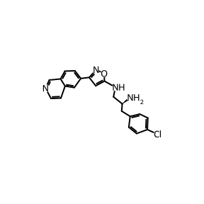 N[C@H](CNc1cc(-c2ccc3cnccc3c2)no1)Cc1ccc(Cl)cc1